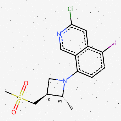 C[C@@H]1[C@@H](CS(C)(=O)=O)CN1c1ccc(I)c2cc(Cl)ncc12